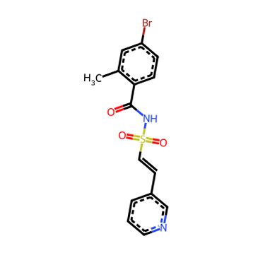 Cc1cc(Br)ccc1C(=O)NS(=O)(=O)/C=C/c1cccnc1